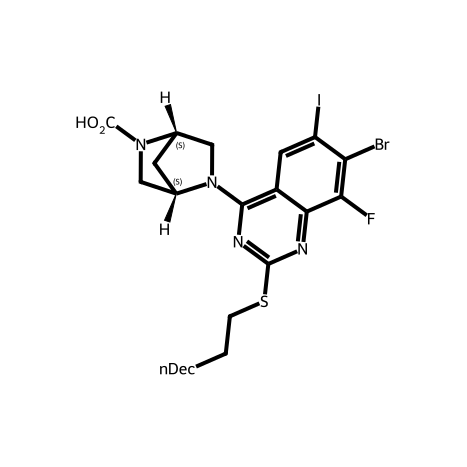 CCCCCCCCCCCCSc1nc(N2C[C@@H]3C[C@H]2CN3C(=O)O)c2cc(I)c(Br)c(F)c2n1